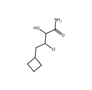 NC(=O)C(O)C(Cl)CC1CCC1